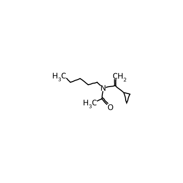 C=C(C1CC1)N(CCCCC)C(C)=O